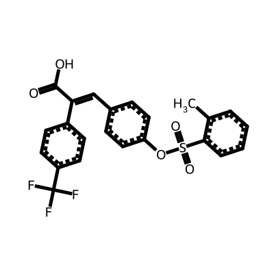 Cc1ccccc1S(=O)(=O)Oc1ccc(/C=C(/C(=O)O)c2ccc(C(F)(F)F)cc2)cc1